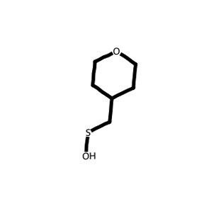 OSCC1CCOCC1